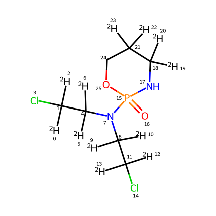 [2H]C([2H])(Cl)C([2H])([2H])N(C([2H])([2H])C([2H])([2H])Cl)P1(=O)NC([2H])([2H])C([2H])([2H])CO1